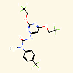 CN(C(=O)Nc1cc(OCC(F)(F)F)nc(OCC(F)(F)F)n1)c1ccc(C(F)(F)F)cc1